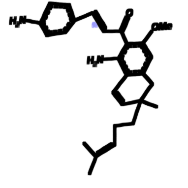 COc1cc2c(c(N)c1C(=O)/C=C/c1ccc(N)cc1)C=CC(C)(CCC=C(C)C)C2